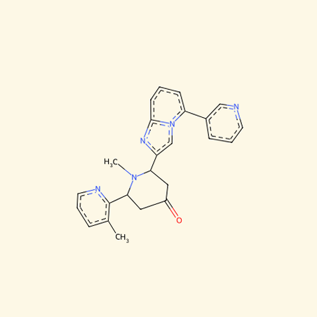 Cc1cccnc1C1CC(=O)CC(c2cn3c(-c4cccnc4)cccc3n2)N1C